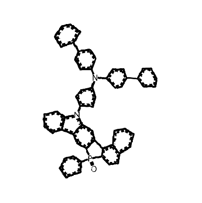 O=P1(c2ccccc2)c2cc3c4ccccc4n(-c4ccc(N(c5ccc(-c6ccccc6)cc5)c5ccc(-c6ccccc6)cc5)cc4)c3cc2-c2c1ccc1ccccc21